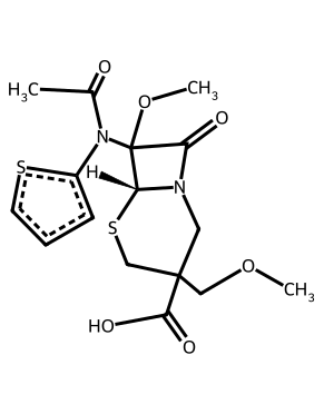 COCC1(C(=O)O)CS[C@H]2N(C1)C(=O)C2(OC)N(C(C)=O)c1cccs1